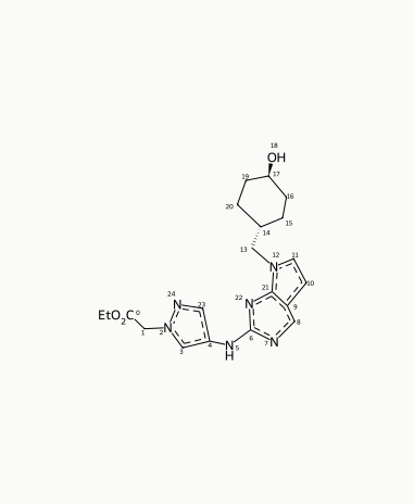 CCOC(=O)Cn1cc(Nc2ncc3ccn(C[C@H]4CC[C@H](O)CC4)c3n2)cn1